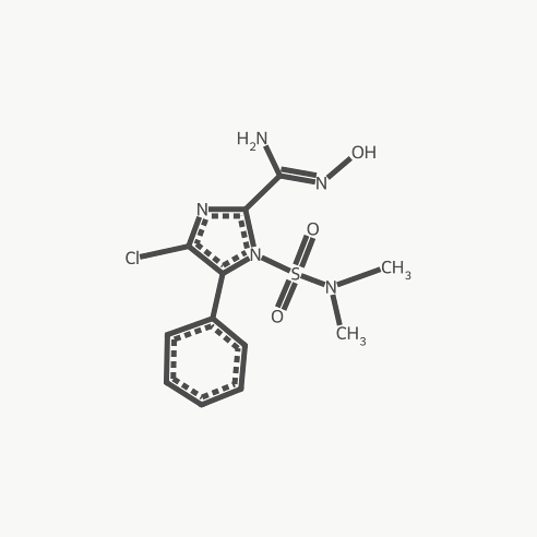 CN(C)S(=O)(=O)n1c(C(N)=NO)nc(Cl)c1-c1ccccc1